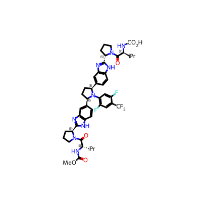 COC(=O)N[C@H](C(=O)N1CCC[C@H]1c1nc2cc([C@H]3CC[C@@H](c4ccc5[nH]c([C@@H]6CCCN6C(=O)[C@@H](NC(=O)O)C(C)C)nc5c4)N3c3cc(F)c(C(F)(F)F)cc3F)ccc2[nH]1)C(C)C